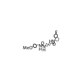 COc1ccc(CNC(=O)NC2CC3(C2)CC(C(=O)NC2CCCc4cc(F)ccc42)C3)cc1